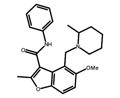 COc1ccc2oc(C)c(C(=O)Nc3ccccc3)c2c1CN1CCCCC1C